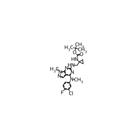 CN(c1ccc(F)c(Cl)c1)c1nc(NCC2(NC(=O)OC(C)(C)C)CC2)nc2c1cnn2C